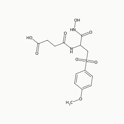 COc1ccc(S(=O)(=O)CC(NC(=O)CCC(=O)O)C(=O)NO)cc1